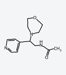 CC(=O)NCC(c1ccncc1)N1CCOCC1